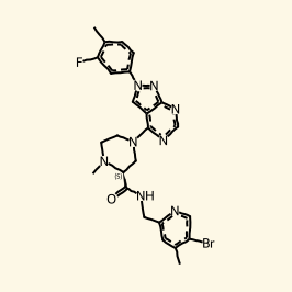 Cc1ccc(-n2cc3c(N4CCN(C)[C@H](C(=O)NCc5cc(C)c(Br)cn5)C4)ncnc3n2)cc1F